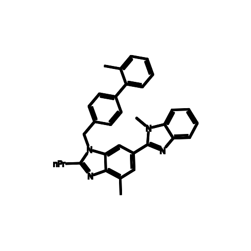 CCCc1nc2c(C)cc(-c3nc4ccccc4n3C)cc2n1Cc1ccc(-c2ccccc2C)cc1